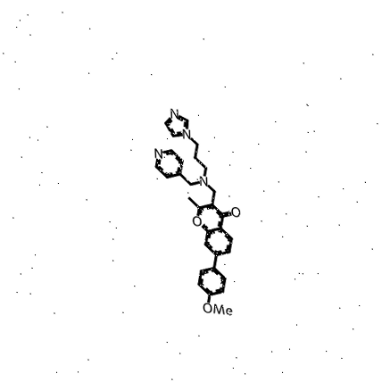 COc1ccc(-c2ccc3c(=O)c(CN(CCCn4ccnc4)Cc4ccncc4)c(C)oc3c2)cc1